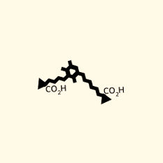 Cc1cc(CCCCCCC2(C(=O)O)CC2)c(C)c(CCCCC2(C(=O)O)CC2)c1C